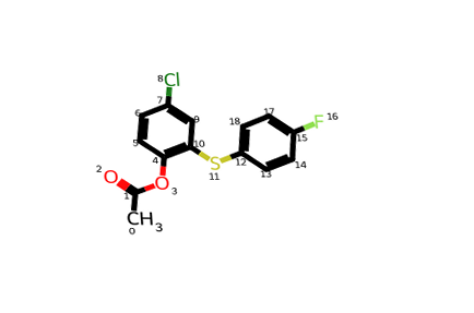 CC(=O)Oc1ccc(Cl)cc1Sc1ccc(F)cc1